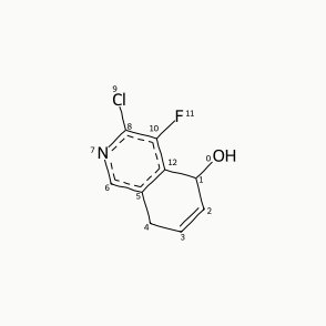 OC1C=CCc2cnc(Cl)c(F)c21